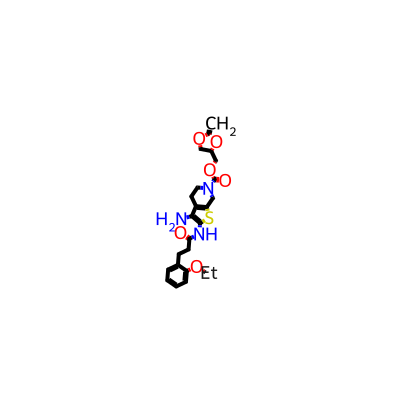 C=C1OCC(COC(=O)N2CCc3c(sc(NC(=O)CCc4ccccc4OCC)c3N)C2)O1